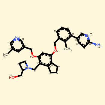 Cc1c(COc2cc(OCc3cncc(C#N)c3)c(CN3CCC3CO)c3c2CCC3)cccc1-c1ccc(N)nc1